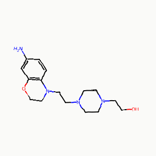 Nc1ccc2c(c1)OCCN2CCN1CCN(CCO)CC1